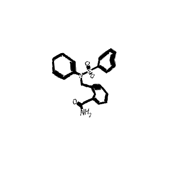 NC(=O)c1ccccc1CN(c1ccccc1)S(=O)(=O)c1ccccc1